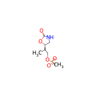 CC(COS(C)(=O)=O)[C@@H]1CNC(=O)O1